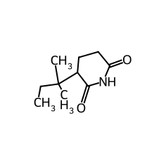 CCC(C)(C)C1CCC(=O)NC1=O